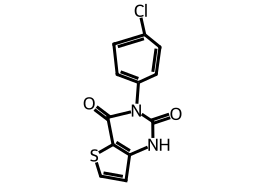 O=c1[nH]c2ccsc2c(=O)n1-c1ccc(Cl)cc1